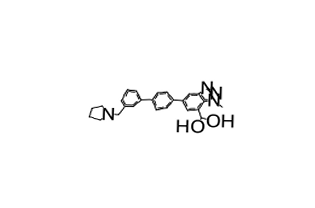 Cn1nnc2cc(-c3ccc(-c4cccc(CN5CCCC5)c4)cc3)cc(C(O)O)c21